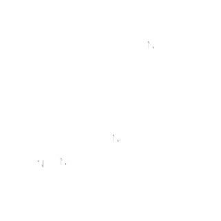 c1ccc(-c2ccc(-c3nc4ccccc4n3-c3ccc(-n4c5ccccc5c5cc(-c6ccc7c(c6)c6ccccc6n7-c6ccccc6)ccc54)cc3)cc2)cc1